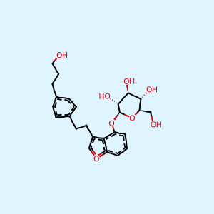 OCCCc1ccc(CCc2coc3cccc(O[C@@H]4O[C@H](CO)[C@@H](O)[C@H](O)[C@H]4O)c23)cc1